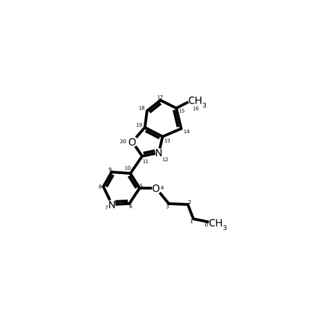 CCCCOc1cnccc1-c1nc2cc(C)ccc2o1